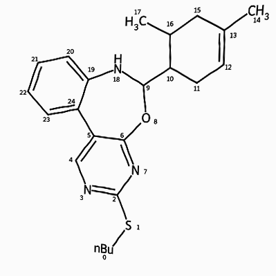 CCCCSc1ncc2c(n1)OC(C1CC=C(C)CC1C)Nc1ccccc1-2